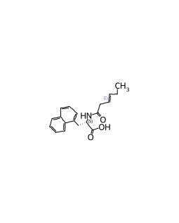 CC/C=C/CC(=O)N[C@@H](Cc1cccc2ccccc12)C(=O)O